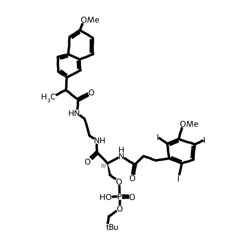 COc1ccc2cc(C(C)C(=O)NCCNC(=O)[C@H](COP(=O)(O)OCC(C)(C)C)NC(=O)CCc3c(I)cc(I)c(OC)c3I)ccc2c1